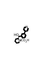 O=C(O)N1CCCC[C@H]1C(O)c1cccc(-c2ccncc2)c1